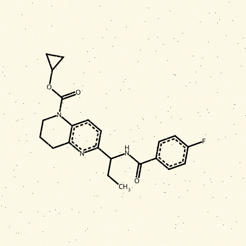 CCC(NC(=O)c1ccc(F)cc1)c1ccc2c(n1)CCCN2C(=O)OC1CC1